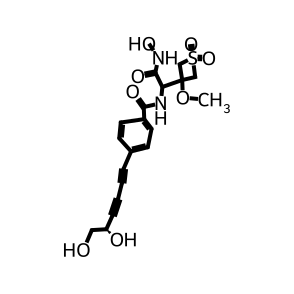 COC1(C(NC(=O)c2ccc(C#CC#C[C@H](O)CO)cc2)C(=O)NO)CS(=O)(=O)C1